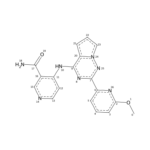 COc1cccc(-c2nc(Nc3ccncc3C(N)=O)c3cccn3n2)n1